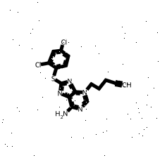 C#CCCCn1cnc(N)c2nc(Sc3ccc(Cl)cc3Cl)nc1-2